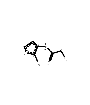 O=C(CF)Nc1ccsc1I